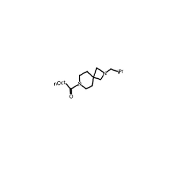 CCCCCCCCC(=O)N1CCC2(CC1)CN(CC(C)C)C2